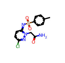 Cc1ccc(S(=O)(=O)N=c2ccc(Cl)nn2CC(N)=O)cc1